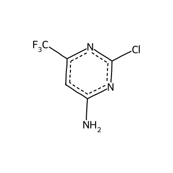 Nc1cc(C(F)(F)F)nc(Cl)n1